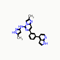 Cc1cn2c(Nc3cc(C)[nH]n3)nc(-c3cccc(-c4ccnc5[nH]ccc45)c3)cc2n1